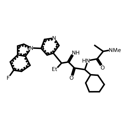 CCC(C(=N)C(=O)C(NC(=O)C(C)NC)C1CCCCC1)c1cncc(-n2ccc3cc(F)ccc32)c1